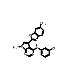 Cc1ccc2nc(-c3cn(C)c4ncnc(Nc5cccc(Cl)c5)c34)[nH]c2c1